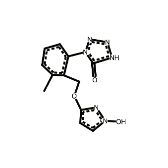 Cc1cccc(-n2nn[nH]c2=O)c1COc1ccn(O)n1